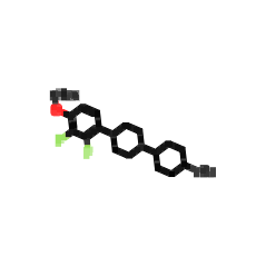 CCCCCCOc1ccc(C2CCC(C3CCC(CCCC)CC3)CC2)c(F)c1F